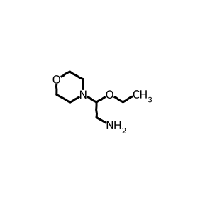 CCOC(CN)N1CCOCC1